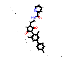 Cc1ccc(-c2cc(C)c(C3C(=O)CC(CCNC(=O)c4ccccn4)C3=O)c(C)c2)cc1